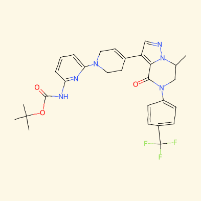 CC1CN(c2ccc(C(F)(F)F)cc2)C(=O)c2c(C3=CCN(c4cccc(NC(=O)OC(C)(C)C)n4)CC3)cnn21